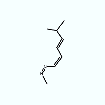 C\N=N/C=C\C=C\C(C)C